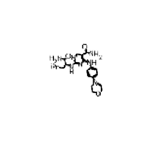 CC(C)CC(Nc1ncc(C(N)=O)c(Nc2ccc(N3CCOCC3)cc2)n1)C(N)=O